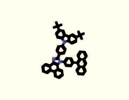 CC(C)(C)c1ccc2c(c1)c1cc(C(C)(C)C)ccc1n2-c1ccc(-c2nc3c4ccccc4c4ccccc4c3n2-c2ccc(-c3c4ccccc4cc4ccccc34)cc2)cc1